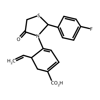 C=CC1CC(C(=O)O)=CC=C1N1C(=O)CSC1c1ccc(F)cc1